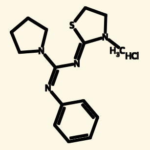 CN1CCSC1=NC(=Nc1ccccc1)N1CCCC1.Cl